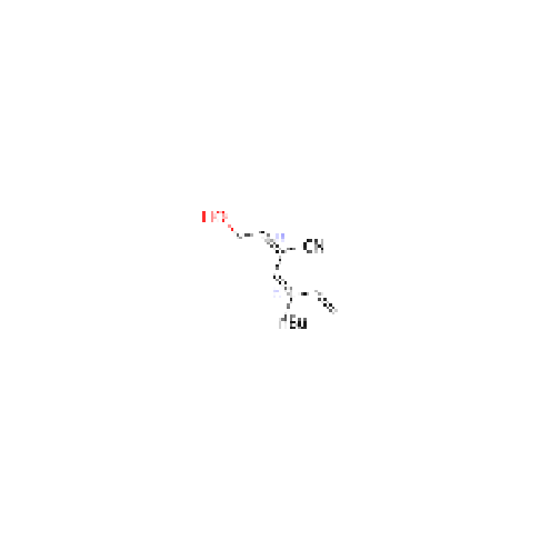 C=C/C(=C\C(C#N)=C/CO)CCCC